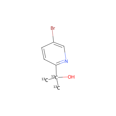 [13CH3][13C]([13CH3])(O)c1ccc(Br)cn1